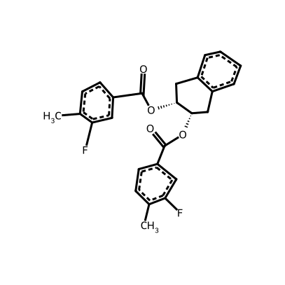 Cc1ccc(C(=O)O[C@H]2Cc3ccccc3C[C@H]2OC(=O)c2ccc(C)c(F)c2)cc1F